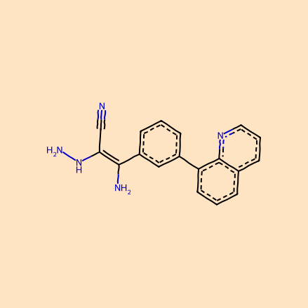 N#C/C(NN)=C(/N)c1cccc(-c2cccc3cccnc23)c1